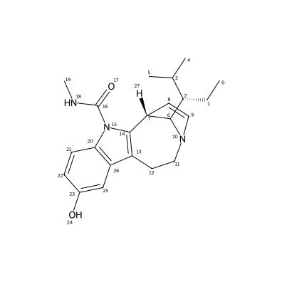 CC[C@@H](C(C)C)C1[C@H]2C=CN1CCc1c2n(C(=O)NC)c2ccc(O)cc12